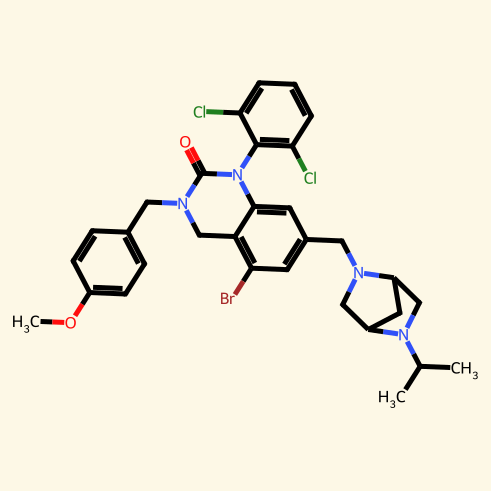 COc1ccc(CN2Cc3c(Br)cc(CN4CC5CC4CN5C(C)C)cc3N(c3c(Cl)cccc3Cl)C2=O)cc1